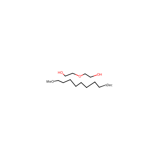 CCCCCCCCCCCCCCCCCCOC.OCCOCCO